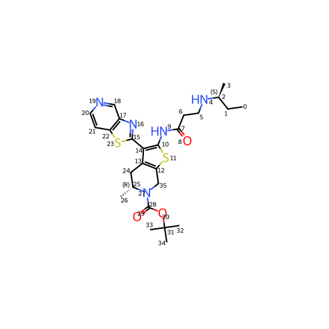 CC[C@H](C)NCCC(=O)Nc1sc2c(c1-c1nc3cnccc3s1)C[C@@H](C)N(C(=O)OC(C)(C)C)C2